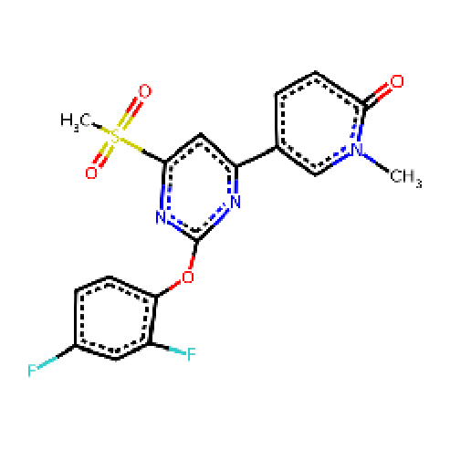 Cn1cc(-c2cc(S(C)(=O)=O)nc(Oc3ccc(F)cc3F)n2)ccc1=O